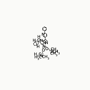 C[Si](C)(C)CCOCN(COCC[Si](C)(C)C)c1cc([C@@]2(O)C[C@@H]3CC[C@@H](C3)C2)nc2c(-c3ccc(-c4ccccc4)nc3)cnn12